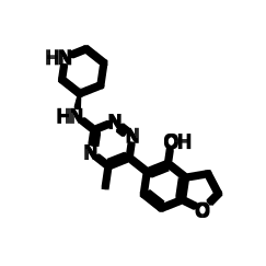 Cc1nc(N[C@@H]2CCCNC2)nnc1-c1ccc2c(c1O)CCO2